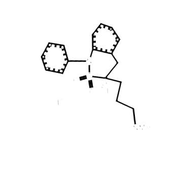 CNCCC[C@]1(C)Cc2ccccc2N(c2ccccc2)S1(=O)=O.Cl